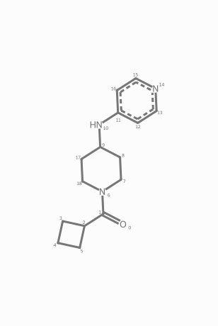 O=C(C1CCC1)N1CCC(Nc2ccncc2)CC1